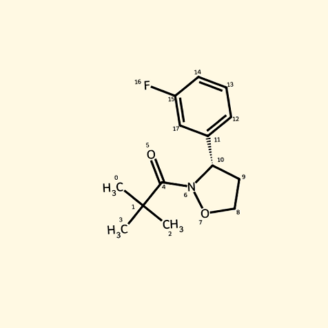 CC(C)(C)C(=O)N1OCC[C@H]1c1cccc(F)c1